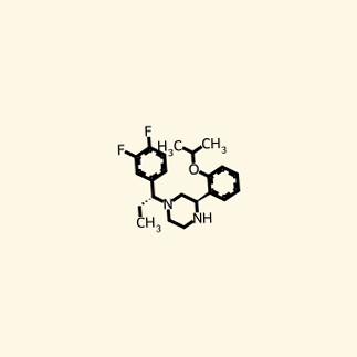 CC[C@H](c1ccc(F)c(F)c1)N1CCN[C@H](c2ccccc2OC(C)C)C1